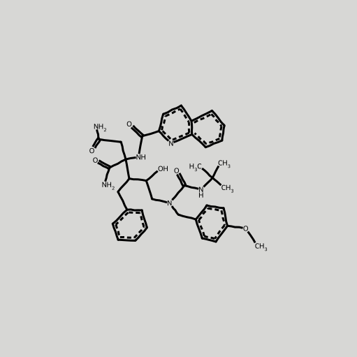 COc1ccc(CN(CC(O)C(Cc2ccccc2)C(CC(N)=O)(NC(=O)c2ccc3ccccc3n2)C(N)=O)C(=O)NC(C)(C)C)cc1